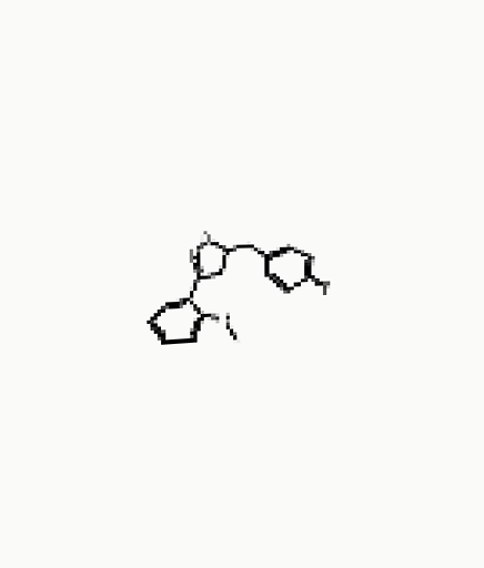 COc1ccccc1C1=NOC(Cc2ccc(F)cc2)C1